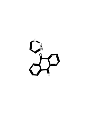 C1=COON=C1.O=C1c2ccccc2C(=O)c2ccccc21